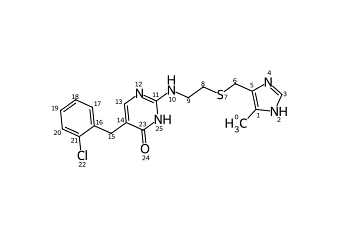 Cc1[nH]cnc1CSCCNc1ncc(Cc2ccccc2Cl)c(=O)[nH]1